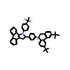 CC(C)(C)c1ccc2c(c1)-c1cc(C(C)(C)C)ccc1[C@@H](c1ccc(C3Cc4c(c5ccccc5c5ccccc45)N3c3ccc(C(C)(F)F)cc3)cc1)C2